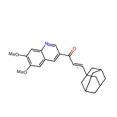 COc1cc2cc(C(=O)/C=C/C34CC5CC(CC(C5)C3)C4)cnc2cc1OC